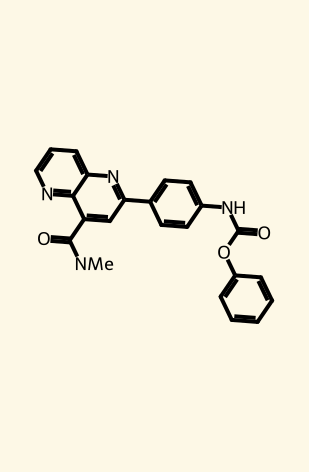 CNC(=O)c1cc(-c2ccc(NC(=O)Oc3ccccc3)cc2)nc2cccnc12